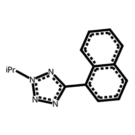 CC(C)n1nnc(-c2cccc3ccccc23)n1